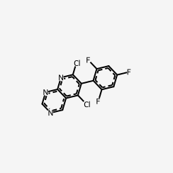 Fc1cc(F)c(-c2c(Cl)nc3ncncc3c2Cl)c(F)c1